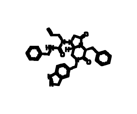 C=CCN(C(=O)NCc1ccccc1)N1CC(=O)N2[C@@H](Cc3ccccc3)C(=O)N(Cc3ccc4c(c3)CN=N4)C[C@@H]21